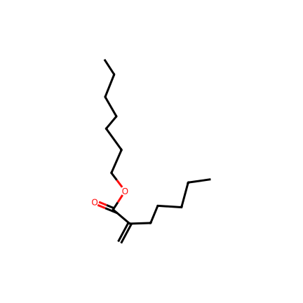 C=C(CCCCC)C(=O)OCCCCCCC